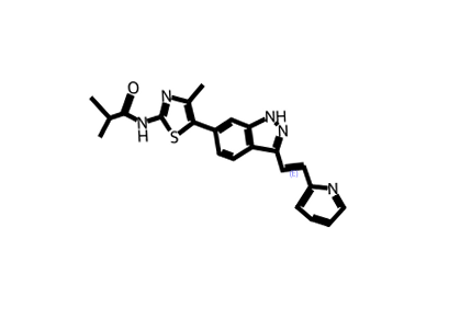 Cc1nc(NC(=O)C(C)C)sc1-c1ccc2c(/C=C/c3ccccn3)n[nH]c2c1